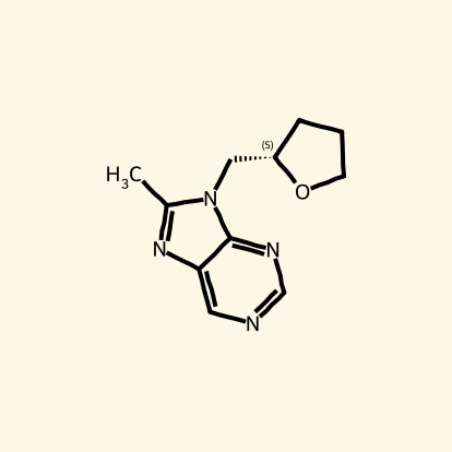 Cc1nc2cncnc2n1C[C@@H]1CCCO1